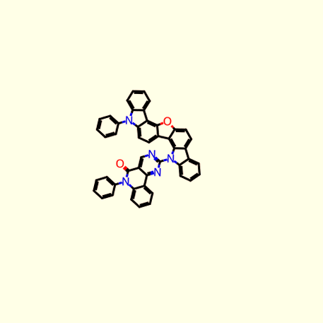 O=c1c2cnc(-n3c4ccccc4c4ccc5oc6c(ccc7c6c6ccccc6n7-c6ccccc6)c5c43)nc2c2ccccc2n1-c1ccccc1